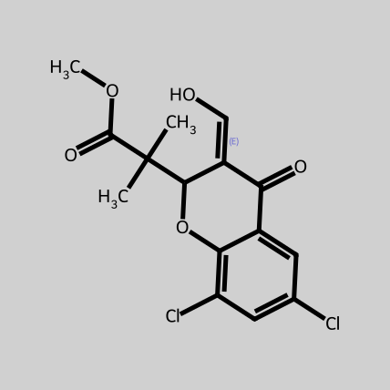 COC(=O)C(C)(C)C1Oc2c(Cl)cc(Cl)cc2C(=O)/C1=C/O